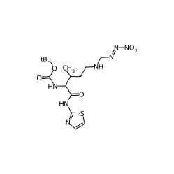 CC(CCNCN=N[N+](=O)[O-])C(NC(=O)OC(C)(C)C)C(=O)Nc1nccs1